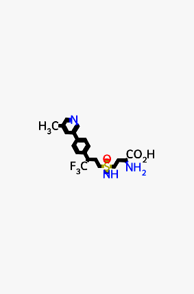 Cc1cncc(-c2ccc(C(CCS(=N)(=O)CC[C@H](N)C(=O)O)C(F)(F)F)cc2)c1